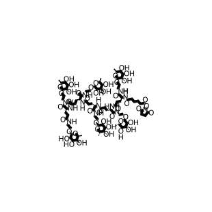 C[C@@H]1O[C@@H](OCCNC(=O)CC[C@H](NC(=O)CC[C@H](NC(=O)CC[C@H](NC(=O)CC[C@H](NC(=O)CC[C@H](NC(=O)CCCCC(=O)ON2C(=O)CCC2=O)C(=O)NCCO[C@@H]2O[C@@H](C)[C@@H](O)[C@@H](O)[C@@H]2O)C(=O)NCCO[C@@H]2O[C@@H](C)[C@@H](O)[C@@H](O)[C@@H]2O)C(=O)NCCO[C@@H]2O[C@@H](C)[C@@H](O)[C@@H](O)[C@@H]2O)C(=O)NCCO[C@@H]2O[C@@H](C)[C@@H](O)[C@@H](O)[C@@H]2O)C(=O)NCCO[C@@H]2O[C@@H](C)[C@@H](O)[C@@H](O)[C@@H]2O)[C@@H](O)[C@H](O)[C@@H]1O